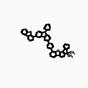 CC1(C)c2ccccc2-c2c1ccc1c2oc2c(-c3ccc(-c4ccc5c(c4)c4cc(-c6cccc7c6sc6ccccc67)ccc4n5-c4ccccc4)cc3)cccc21